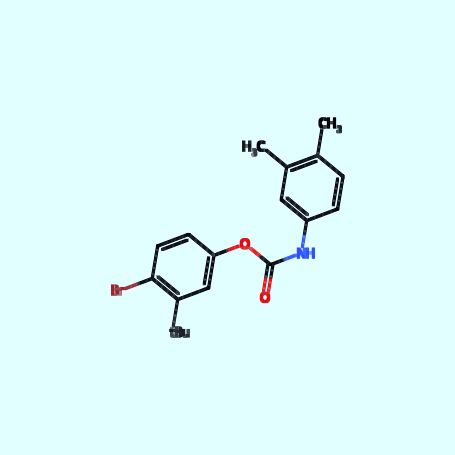 Cc1ccc(NC(=O)Oc2ccc(Br)c(C(C)(C)C)c2)cc1C